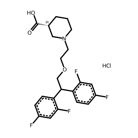 Cl.O=C(O)[C@@H]1CCCN(CCOCC(c2ccc(F)cc2F)c2ccc(F)cc2F)C1